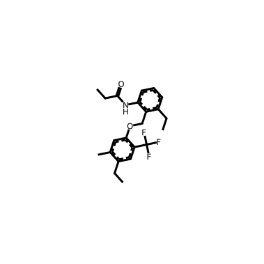 CCC(=O)Nc1cccc(CC)c1COc1cc(C)c(CC)cc1C(F)(F)F